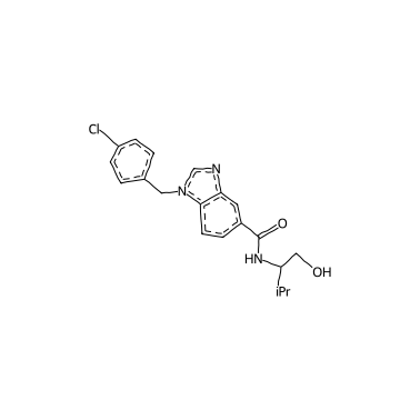 CC(C)C(CO)NC(=O)c1ccc2c(c1)ncn2Cc1ccc(Cl)cc1